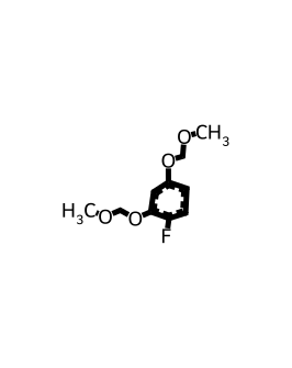 COCOc1ccc(F)c(OCOC)c1